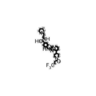 O=C(CCC(F)(F)F)N1CC=C(c2cccn3nc(Nc4ccc(C(O)NCCN5CCCCC5)cc4)nc23)CC1